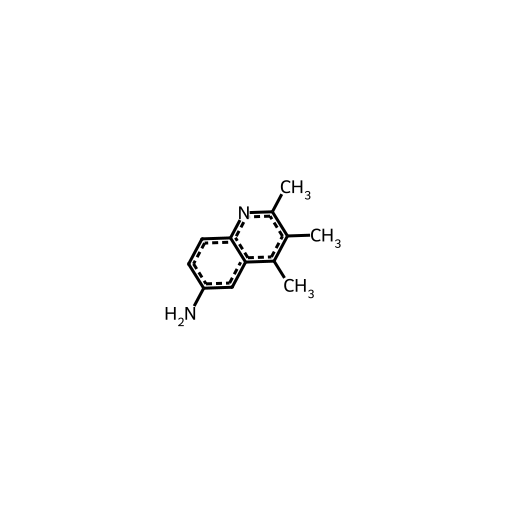 Cc1nc2ccc(N)cc2c(C)c1C